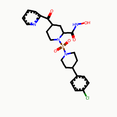 O=C(c1ccccn1)C1CCN(S(=O)(=O)N2CCC(c3ccc(Cl)cc3)CC2)C(C(=O)NO)C1